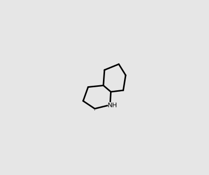 [CH]1CCC2CCCCC2N1